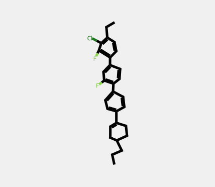 CCCC1CC=C(c2ccc(-c3ccc(-c4ccc(CC)c(Cl)c4F)cc3F)cc2)CC1